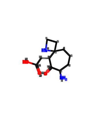 NC1CCCC2(CCN2)C(CC(=O)O)C1=O